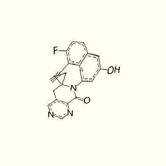 C#Cc1c(F)ccc2cc(O)cc(N3C(=O)c4ncncc4CC34CC4)c12